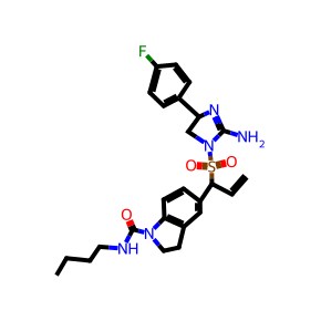 C=CC(c1ccc2c(c1)CCN2C(=O)NCCCC)S(=O)(=O)N1CC(c2ccc(F)cc2)N=C1N